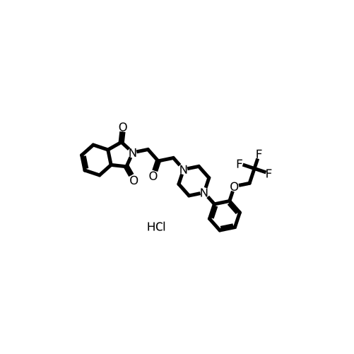 Cl.O=C(CN1CCN(c2ccccc2OCC(F)(F)F)CC1)CN1C(=O)C2CC=CCC2C1=O